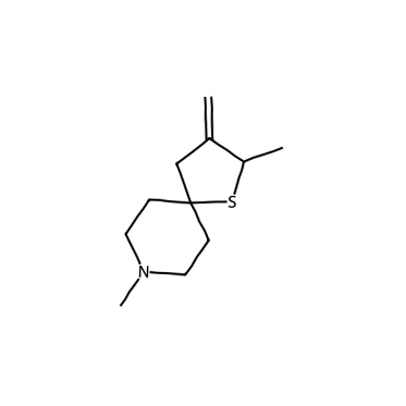 C=C1CC2(CCN(C)CC2)SC1C